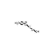 CN1CCN(C(=O)OCCOCCOCCO)CC1